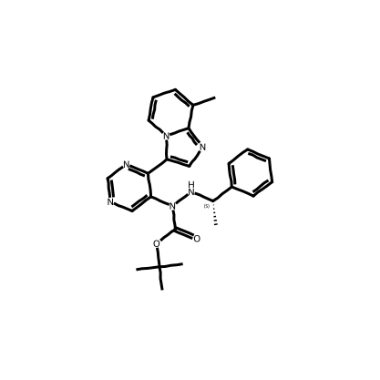 Cc1cccn2c(-c3ncncc3N(N[C@@H](C)c3ccccc3)C(=O)OC(C)(C)C)cnc12